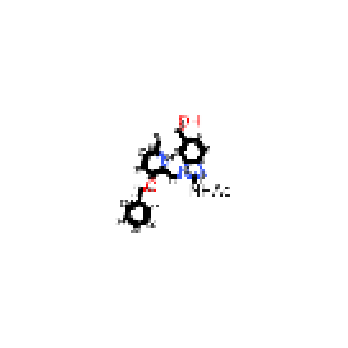 CC(=O)Nc1nc2ccc(CO)cc2n1Cc1nc(C)ccc1OCc1ccccc1